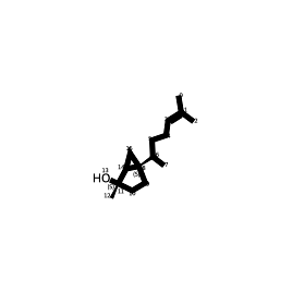 CC(C)=CCCC(C)[C@@]12CC[C@](C)(O)C1C2